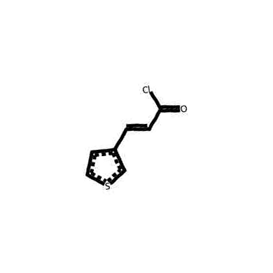 O=C(Cl)/C=C/c1ccsc1